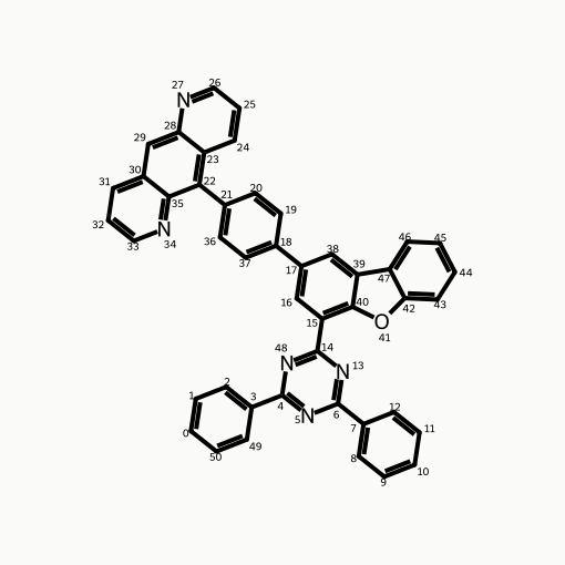 c1ccc(-c2nc(-c3ccccc3)nc(-c3cc(-c4ccc(-c5c6cccnc6cc6cccnc56)cc4)cc4c3oc3ccccc34)n2)cc1